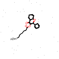 CCCCCCCCCCCCCCCC(=O)Oc1c(-c2ccccc2)oc2ccccc2c1=O